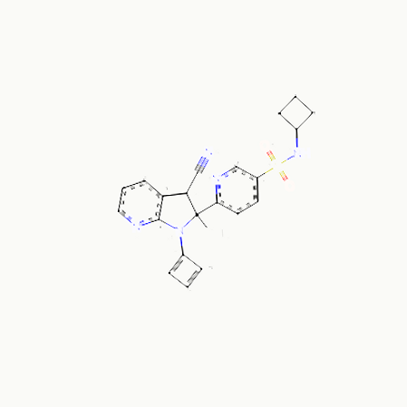 CC1(c2ccc(S(=O)(=O)NC3CCC3)cn2)C(C#N)c2cccnc2N1C1=CC=C1